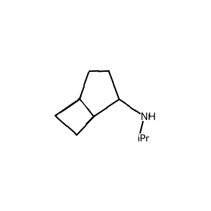 CC(C)NC1CCC2CCC21